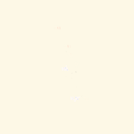 CCC1(CC)c2cc(C(N)=O)ccc2C[C@@H](OC)[C@H]1NCCC(CC1CCC(O)CC1)C(=O)O